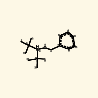 CC(C)(C)[SiH](OCc1ccccc1)C(C)(C)C